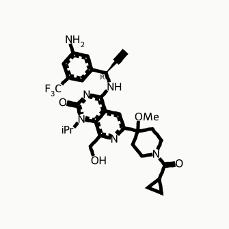 C#C[C@@H](Nc1nc(=O)n(C(C)C)c2c(CO)nc(C3(OC)CCN(C(=O)C4CC4)CC3)cc12)c1cc(N)cc(C(F)(F)F)c1